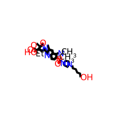 CC[C@@]1(O)C(=O)OCc2c1cc1n(c2=O)Cc2cc3c(CN(C)C)c(OC(=O)N4CCN(CCCCCCO)CC4)ccc3nc2-1